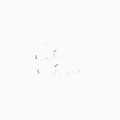 CCCCCCCCC(CCCC(=O)[O-])C(=O)[O-].CCCCCCCCC(CCCC(=O)[O-])C(=O)[O-].CCC[CH2][SnH2+4][CH2]CCC